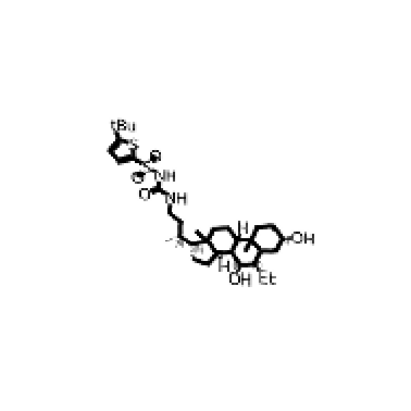 CC[C@@H]1C2C[C@H](O)CCC2(C)[C@H]2CCC3(C)[C@@H]([C@H](C)CCNC(=O)NS(=O)(=O)c4ccc(C(C)(C)C)s4)CC[C@H]3C2[C@@H]1O